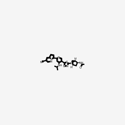 CC(=O)N[C@H]1C[C@@H]2C[C@H]1CN2c1nnc(-c2cnc(-c3ccc4cc(C#N)cnn34)cc2NC(C)C)s1